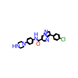 O=C(Nc1ccc(N2CCNCC2)cc1)c1cnc2c(-c3ccc(Cl)cc3)cnn2c1